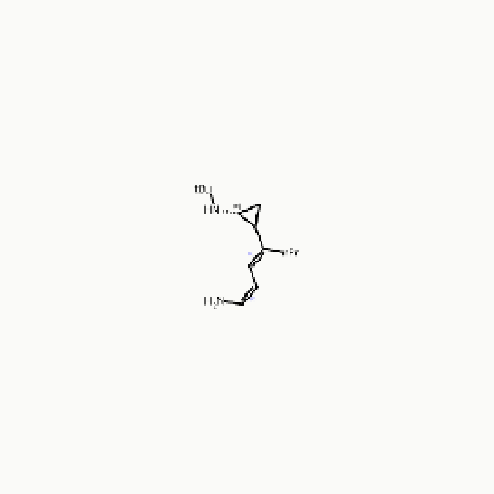 CCC/C(=C\C=C/N)C1C[C@H]1NC(C)(C)C